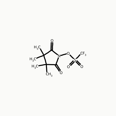 CC1(C)C(=O)N(OS(=O)(=O)C(F)(F)F)C(=O)C1(C)C